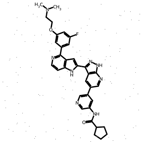 CN(C)CCOc1cc(F)cc(-c2nccc3[nH]c(-c4n[nH]c5ncc(-c6cncc(NC(=O)C7CCCC7)c6)cc45)cc23)c1